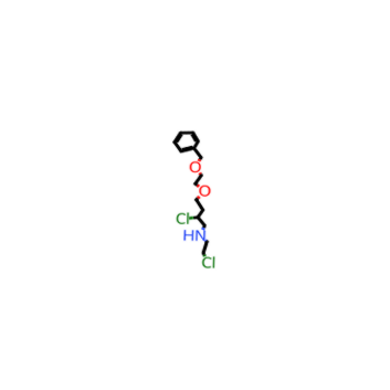 ClCCNCC(Cl)CCOCCOCc1ccccc1